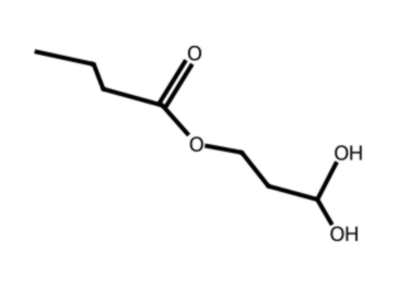 CCCC(=O)OCCC(O)O